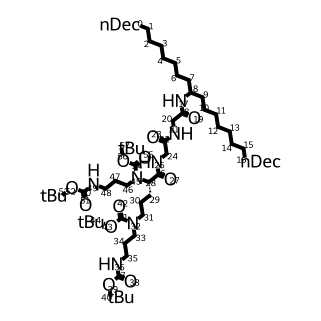 CCCCCCCCCCCCCCCCCC(CCCCCCCCCCCCCCCCC)NC(=O)CNC(=O)CNC(=O)[C@H](CCCN(CCCNC(=O)OC(C)(C)C)C(=O)OC(C)(C)C)N(CCCNC(=O)OC(C)(C)C)C(=O)OC(C)(C)C